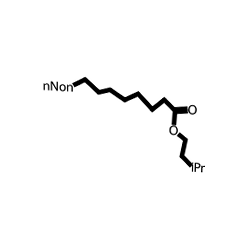 CCCCCCCCCCCCCCCCC(=O)OCCC(C)C